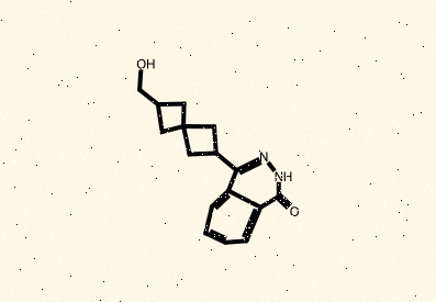 O=c1[nH]nc(C2CC3(CC(CO)C3)C2)c2ccccc12